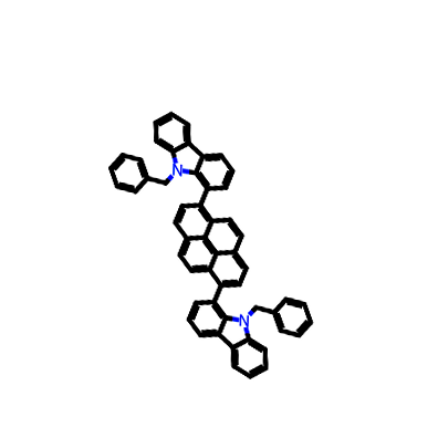 c1ccc(Cn2c3ccccc3c3cccc(-c4ccc5ccc6c(-c7cccc8c9ccccc9n(Cc9ccccc9)c78)ccc7ccc4c5c76)c32)cc1